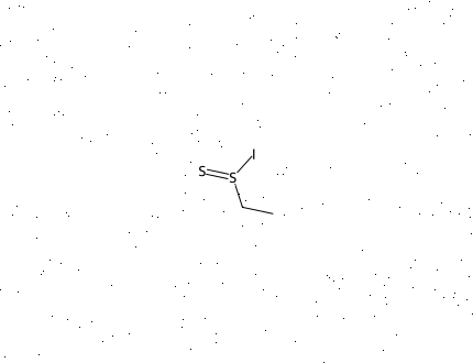 CCS(=S)I